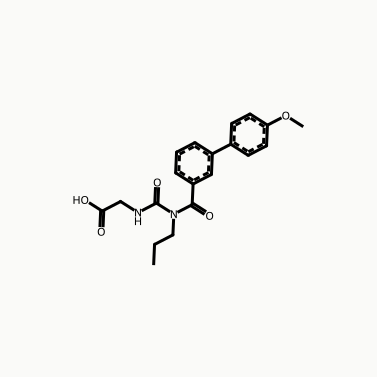 CCCN(C(=O)NCC(=O)O)C(=O)c1cccc(-c2ccc(OC)cc2)c1